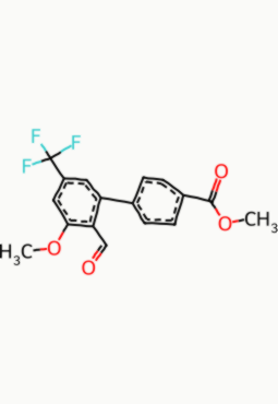 COC(=O)c1ccc(-c2cc(C(F)(F)F)cc(OC)c2C=O)cc1